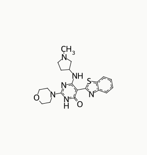 CN1CCC(Nc2nc(N3CCOCC3)[nH]c(=O)c2-c2nc3ccccc3s2)C1